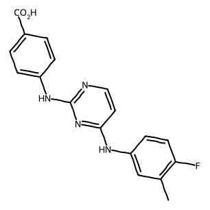 Cc1cc(Nc2ccnc(Nc3ccc(C(=O)O)cc3)n2)ccc1F